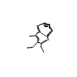 COc1c(C)nc2ccccc2c1C